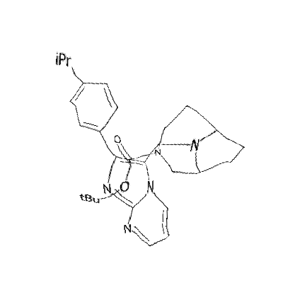 CC(C)c1ccc(-c2nc3ncccn3c2CN2C3CCC2CN(C(=O)OC(C)(C)C)CC3)cc1